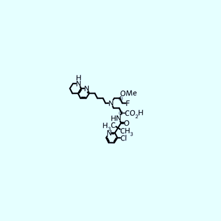 CO[C@H](CF)CN(CCCCc1ccc2c(n1)NCCC2)CC[C@H](NC(=O)C(C)(C)c1ncccc1Cl)C(=O)O